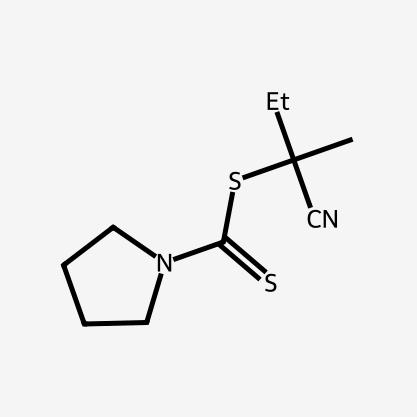 CCC(C)(C#N)SC(=S)N1CCCC1